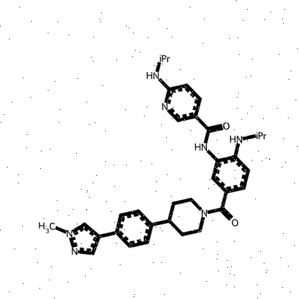 CC(C)Nc1ccc(C(=O)Nc2cc(C(=O)N3CCC(c4ccc(-c5cnn(C)c5)cc4)CC3)ccc2NC(C)C)cn1